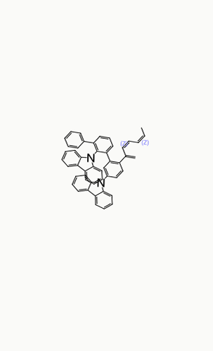 C=C(/C=C\C=C/C)c1ccc(-n2c3ccccc3c3ccccc32)cc1-c1cccc(-c2ccccc2)c1-n1c2ccccc2c2ccccc21